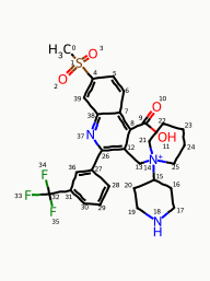 CS(=O)(=O)c1ccc2c(C(=O)O)c(C[N+]3(C4CCNCC4)CCCCC3)c(-c3cccc(C(F)(F)F)c3)nc2c1